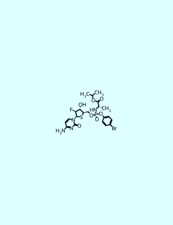 CC(C)OC(=O)[C@H](C)N[P@](=O)(OC[C@H]1S[C@@H](n2ccc(N)nc2=O)[C@@H](F)[C@@H]1O)Oc1ccc(Br)cc1